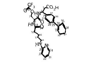 O=C(O)CC(NC(=O)[C@H](COC(=O)C(F)(F)F)NC(=O)CCCCNc1ccccn1)c1ccc(-c2ccccc2)cc1